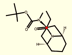 CCC(=O)N1[C@@H]2CCC[C@H]1C[C@@H](N(C)C(=O)OC(C)(C)C)C2